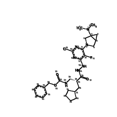 CN(C)C12CC1CN(c1nc(Cl)nc(NNC(=O)[C@@H](CNC(=O)OCc3ccccc3)CC3CCCC3)c1F)C2